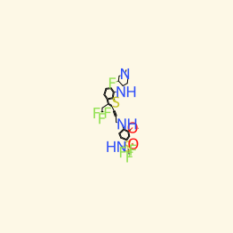 COc1cc(S(=N)(=O)C(F)(F)F)ccc1NCC#Cc1sc2c(N[C@H]3CCN(C)C[C@@H]3F)cccc2c1CC(F)(F)F